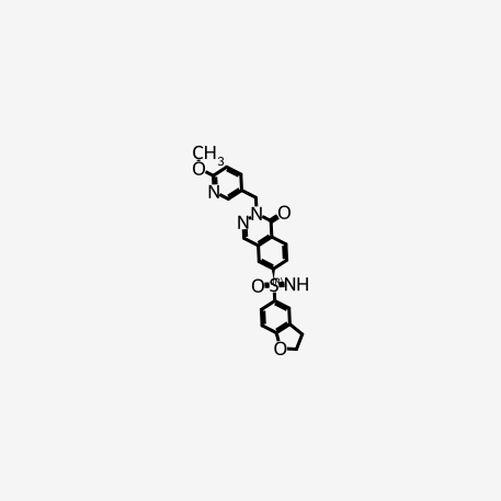 COc1ccc(Cn2ncc3cc([S@](=N)(=O)c4ccc5c(c4)CCO5)ccc3c2=O)cn1